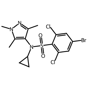 Cc1nn(C)c(C)c1N(C1CC1)S(=O)(=O)c1c(Cl)cc(Br)cc1Cl